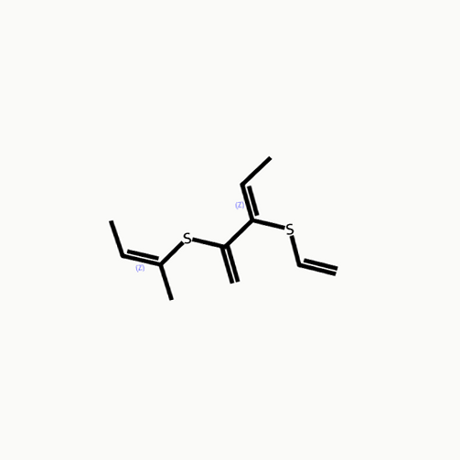 C=CS/C(=C\C)C(=C)S/C(C)=C\C